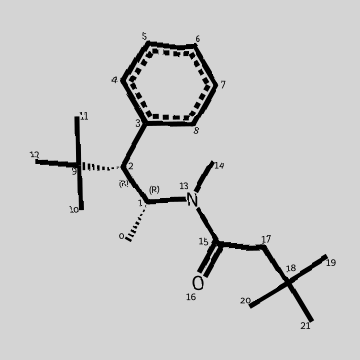 C[C@H]([C@@H](c1ccccc1)C(C)(C)C)N(C)C(=O)CC(C)(C)C